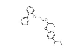 CCC(OCCOc1ccccc1-c1ccccc1)Oc1ccc(C(C)CC)cc1